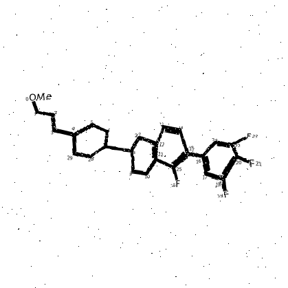 COCCCC1CCC(C2CCc3c(ccc(-c4cc(F)c(F)c(F)c4)c3F)C2)CC1